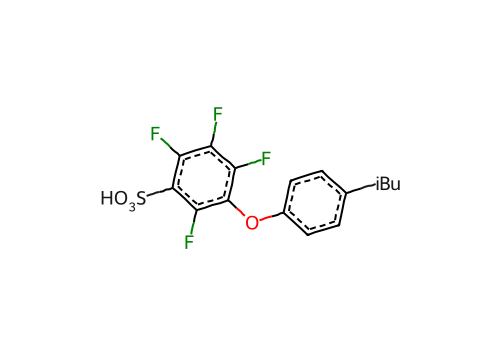 CCC(C)c1ccc(Oc2c(F)c(F)c(F)c(S(=O)(=O)O)c2F)cc1